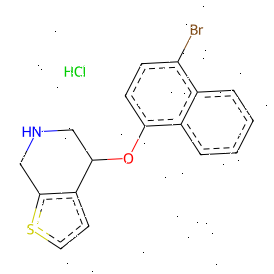 Brc1ccc(OC2CNCc3sccc32)c2ccccc12.Cl